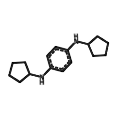 c1cc(NC2CCCC2)ccc1NC1CCCC1